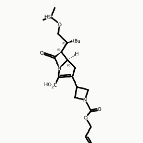 C=CCOC(=O)N1CC(C2=C(C(=O)O)N3C(=O)[C@@H]([C@@H](CO[SiH](C)C)C(C)(C)C)[C@H]3C2)C1